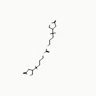 CC(C)(CCCNC(=S)NCCCC(C)(C)C1COC(=O)C1)C1COC(=O)C1